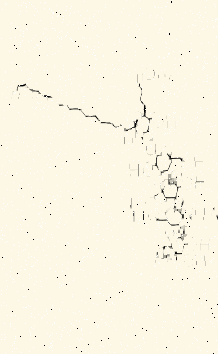 CCCCCCCC/C=C\CCCCCCCCCCCCCCCC(=O)N[C@@H](CO[C@@H]1OC(CO)[C@@H](O[C@@H]2OC(CO)[C@H](O)[C@H](O[C@@H]3OC(CO)[C@@H](O)[C@H](O[C@@H]4OC(CO)[C@H](O)[C@H](O)C4O)C3NC(C)=O)C2O)[C@H](O)C1O)[C@H](O)/C=C/CCCCCCCCCCCCC